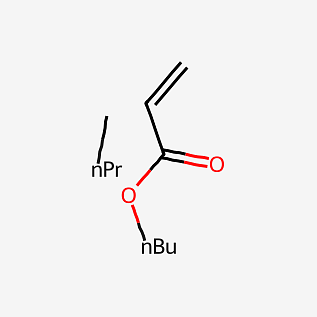 CCCC.[CH2]CCCOC(=O)C=C